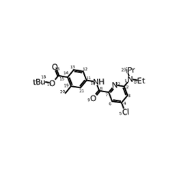 CCN(c1cc(Cl)cc(C(=O)Nc2ccc(C(=O)OC(C)(C)C)c(C)c2)n1)C(C)C